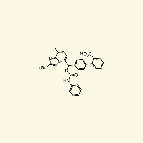 CCCCc1cn2c(C(OC(=O)Nc3ccccc3)c3ccc(-c4ccccc4C(=O)O)cc3)ccc(C)c2n1